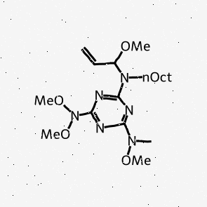 C=CC(OC)N(CCCCCCCC)c1nc(N(C)OC)nc(N(OC)OC)n1